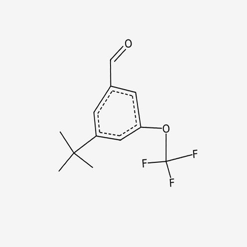 CC(C)(C)c1cc(C=O)cc(OC(F)(F)F)c1